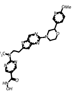 COc1ccc(C2CN(c3ncc4sc(CCN(C)c5ncc(C(=O)NO)cn5)cc4n3)CCO2)cn1